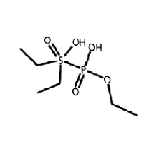 CCOP(=O)(O)S(=O)(O)(CC)CC